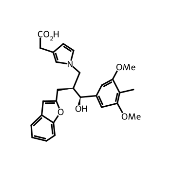 COc1cc([C@@H](O)[C@@H](Cc2cc3ccccc3o2)Cn2ccc(CC(=O)O)c2)cc(OC)c1C